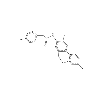 Cc1nc2c(nc1NC(=O)Cc1ccc(I)cc1)CCc1cc(F)ccc1-2